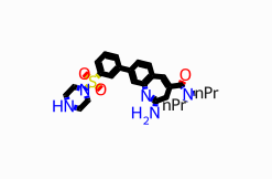 CCCN(CCC)C(=O)C1=Cc2ccc(-c3cccc(S(=O)(=O)N4CCNCC4)c3)cc2N=C(N)C1